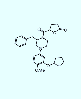 COc1ccc(N2CCN(C(=O)C3CCC(=O)O3)C(Cc3ccccc3)C2)cc1OC1CCCC1